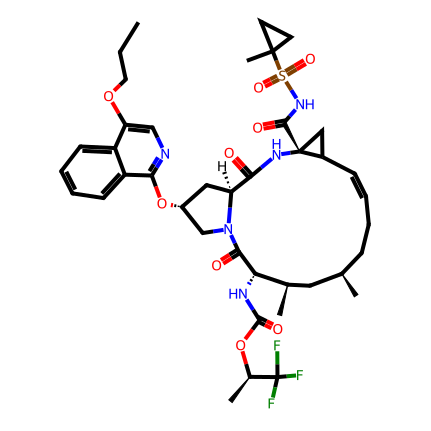 CCCOc1cnc(O[C@@H]2C[C@H]3C(=O)N[C@]4(C(=O)NS(=O)(=O)C5(C)CC5)CC4/C=C\CC[C@@H](C)C[C@@H](C)[C@H](NC(=O)O[C@H](C)C(F)(F)F)C(=O)N3C2)c2ccccc12